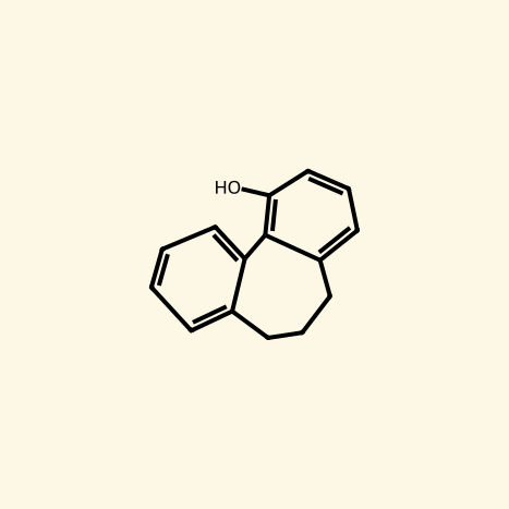 Oc1cccc2c1-c1ccccc1CCC2